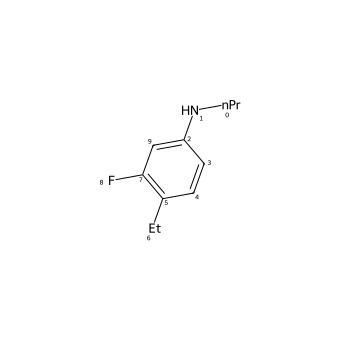 CCCNc1ccc(CC)c(F)c1